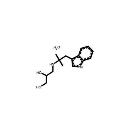 CC(C)(Cc1c[nH]c2ccccc12)NCC(O)CO.O